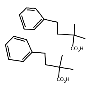 CC(C)(CCc1ccccc1)C(=O)O.CC(C)(CCc1ccccc1)C(=O)O